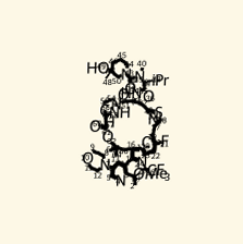 CO[C@@H](C)c1ncc(N2CCOCC2)cc1-c1c2c3cc(c(F)cc3n1CC(F)(F)F)-c1csc(n1)C[C@H](NC(=O)[C@H](C(C)C)N(C)C(=O)N1CCC[C@@](C)(O)C1)C(=O)N1CCC[C@H](N1)C(=O)OCC(C)(C)C2